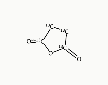 O=[13C]1[13CH2][13CH2][13C](=O)O1